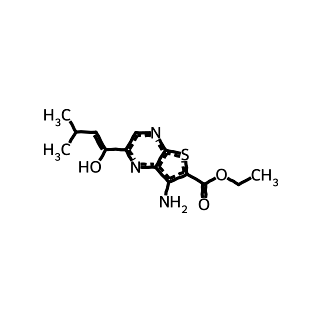 CCOC(=O)c1sc2ncc(/C(O)=C/C(C)C)nc2c1N